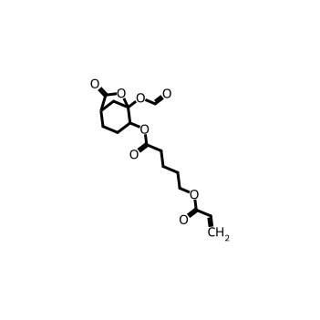 C=CC(=O)OCCCCC(=O)OC1CCC2CC1(OC=O)OC2=O